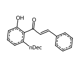 CCCCCCCCCCc1cccc(O)c1C(=O)C=Cc1ccccc1